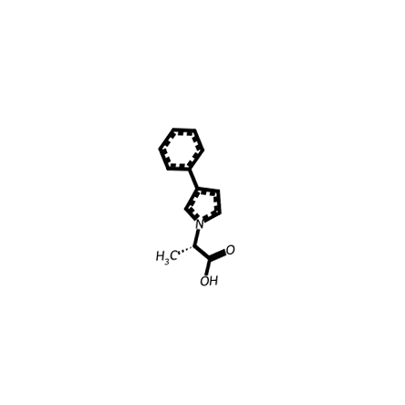 C[C@@H](C(=O)O)n1ccc(-c2ccccc2)c1